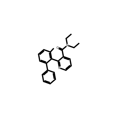 CCN(CC)C(=O)c1cccnc1-c1c(C)cccc1-c1ccccc1